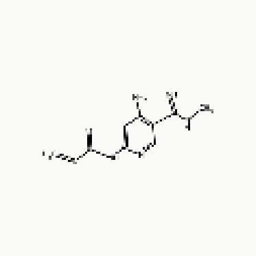 C=NC(=O)Nc1cc(N)c(C(=N)NC)cn1